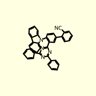 N#Cc1ccccc1-c1ccc(-n2c3ccccc3c3ccccc32)c(-c2nc(-c3ccccc3)nc(-c3ccccc3)n2)c1